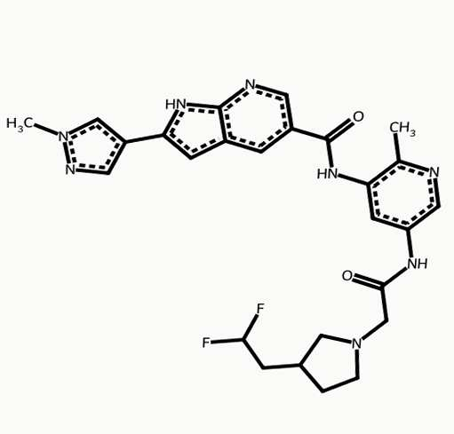 Cc1ncc(NC(=O)CN2CCC(CC(F)F)C2)cc1NC(=O)c1cnc2[nH]c(-c3cnn(C)c3)cc2c1